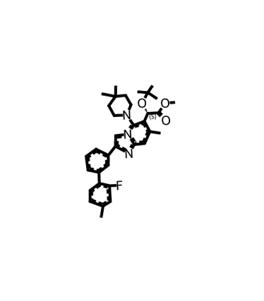 COC(=O)[C@@H](OC(C)(C)C)c1c(C)cc2nc(-c3cccc(-c4ccc(C)cc4F)c3)cn2c1N1CCC(C)(C)CC1